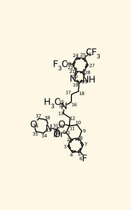 CC(C)C1c2ccc(F)cc2CCC1(CCN(C)CCCc1nc2c(C(F)(F)F)cc(C(F)(F)F)cc2[nH]1)OC(=O)N1CCOCC1